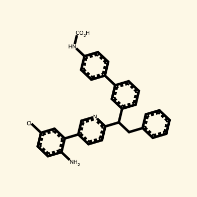 Nc1ccc(Cl)cc1-c1ccc(C(Cc2ccccc2)c2cccc(-c3ccc(NC(=O)O)cc3)c2)nc1